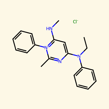 CCN(c1ccccc1)c1cc(NC)[n+](-c2ccccc2)c(C)n1.[Cl-]